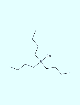 CCCC[Si]([Co])(CCCC)CCCC